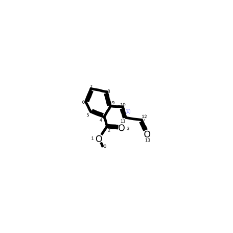 COC(=O)c1ccccc1/C=C/[C]=O